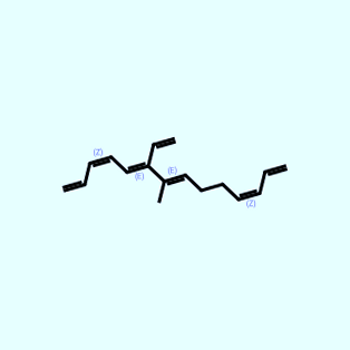 C=C\C=C/C=C(C=C)/C(C)=C/CC/C=C\C=C